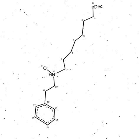 CCCCCCCCCCCCCCCCC[NH+]([O-])CCc1ccccc1